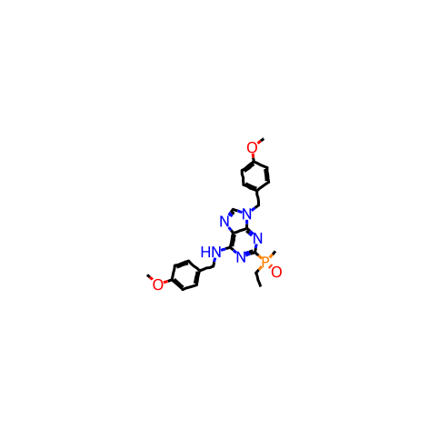 CCP(C)(=O)c1nc(NCc2ccc(OC)cc2)c2ncn(Cc3ccc(OC)cc3)c2n1